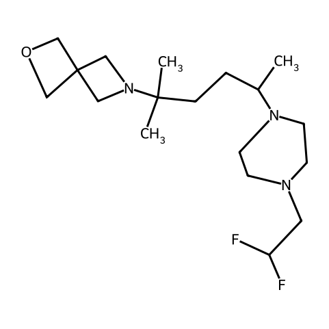 CC(CCC(C)(C)N1CC2(COC2)C1)N1CCN(CC(F)F)CC1